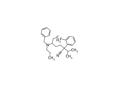 CCCN(Cc1ccccc1)C(CC)CCC(C#N)(c1ccccc1F)C(C)C